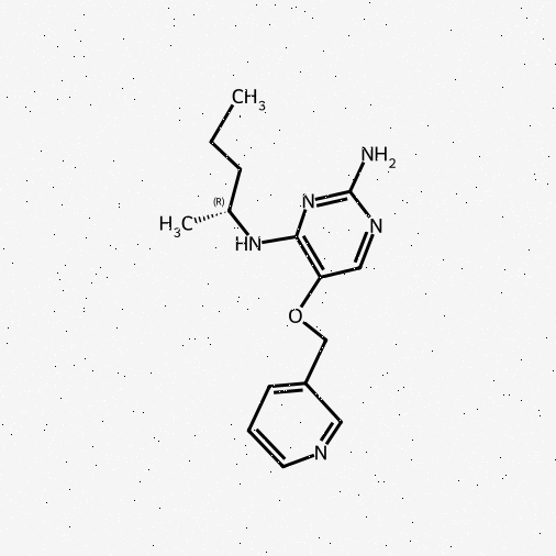 CCC[C@@H](C)Nc1nc(N)ncc1OCc1cccnc1